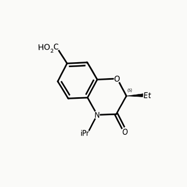 CC[C@@H]1Oc2cc(C(=O)O)ccc2N(C(C)C)C1=O